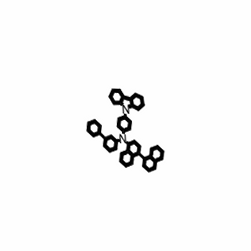 c1ccc(-c2cccc(N(c3ccc(-n4c5ccccc5c5ccccc54)cc3)c3ccc(-c4cccc5ccccc45)c4ccccc34)c2)cc1